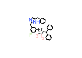 BCCCC(c1ccccc1)c1ccccc1.CCc1cc(F)cc(Cc2ncc(Cc3ccccc3)[nH]2)c1